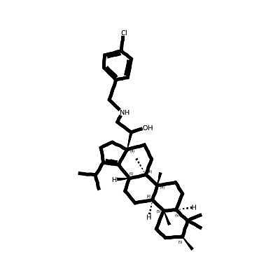 CC(C)C1=C2[C@H]3CC[C@@H]4[C@@]5(C)CC[C@H](C)C(C)(C)[C@@H]5CC[C@@]4(C)[C@]3(C)CC[C@@]2(C(O)CNCc2ccc(Cl)cc2)CC1